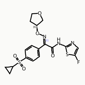 O=C(Nc1ncc(F)s1)/C(=N/O[C@H]1CCOC1)c1ccc(S(=O)(=O)C2CC2)cc1